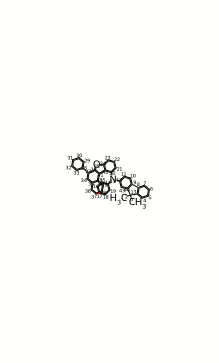 CC1(C)c2ccccc2-c2ccc(N(c3ccccc3)c3cccc4oc5c(-c6ccccc6)cc6ccccc6c5c34)cc21